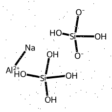 O[Si](O)(O)O.[Na][Al+2].[O-][Si]([O-])(O)O